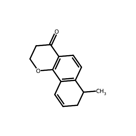 CC1CC=Cc2c1ccc1c2OCCC1=O